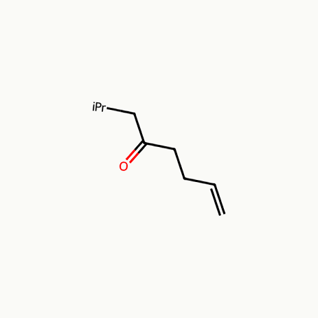 C=CCCC(=O)CC(C)C